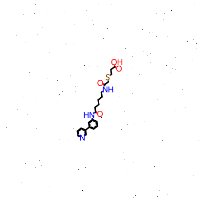 O=C(O)CCSCC(=O)NCCCCCC(=O)Nc1cccc(-c2cccnc2)c1